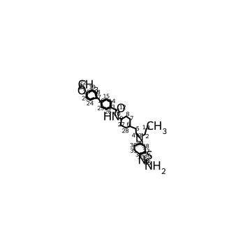 CCCN(CCC1CCC(NC(=O)c2ccc(-c3ccc(OC)cc3)cc2)CC1)[C@H]1CCc2nc(N)sc2C1